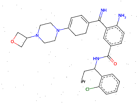 CC(C)CC(NC(=O)c1ccc(N)c(C(=N)C2=CC=C(N3CCN(C4COC4)CC3)CC2)c1)c1ccccc1Cl